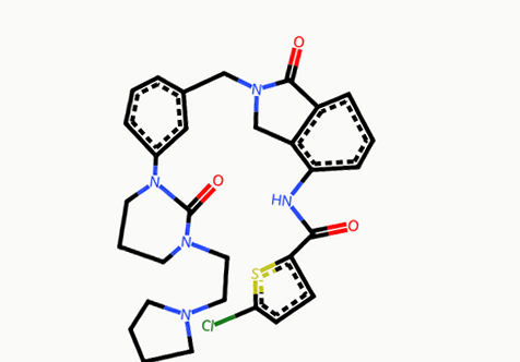 O=C(Nc1cccc2c1CN(Cc1cccc(N3CCCN(CCN4CCCC4)C3=O)c1)C2=O)c1ccc(Cl)s1